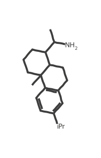 CC(C)c1ccc2c(c1)CCC1C(C(C)N)CCCC21C